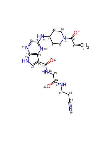 C=CC(=O)N1CCC(Nc2cnc3[nH]cc(C(=O)NCC(=O)NCCC#N)c3n2)CC1